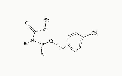 CCN(C(=O)OC(C)C)[P](=S)OCc1ccc(C#N)cc1